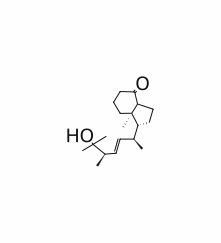 C[C@H](/C=C/[C@H](C)[C@H]1CCC2C(=O)CCC[C@@]21C)C(C)(C)O